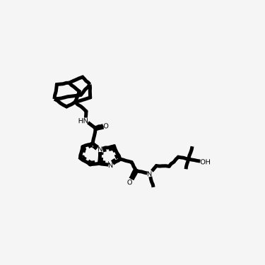 CN(CCCC(C)(C)O)C(=O)Cc1cn2c(C(=O)NCC34CC5CC(CC(C5)C3)C4)cccc2n1